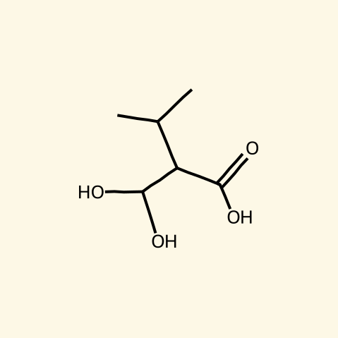 CC(C)C(C(=O)O)C(O)O